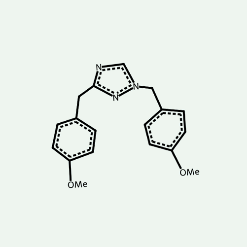 COc1ccc(Cc2ncn(Cc3ccc(OC)cc3)n2)cc1